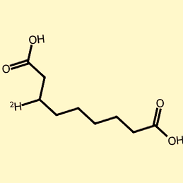 [2H]C(CCCCCC(=O)O)CC(=O)O